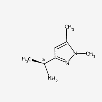 Cc1cc([C@H](C)N)nn1C